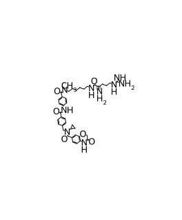 CN(CCCCCCNC(=O)[C@@H](N)CCCNC(=N)N)C(=O)c1ccc(NC(=O)c2ccc(CN(C(=O)c3ccc4c(c3)OCC(=O)N4)C3CC3)cc2)cc1